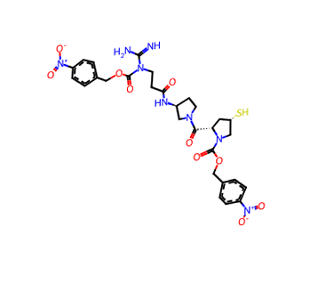 N=C(N)N(CCC(=O)N[C@H]1CCN(C(=O)[C@@H]2C[C@H](S)CN2C(=O)OCc2ccc([N+](=O)[O-])cc2)C1)C(=O)OCc1ccc([N+](=O)[O-])cc1